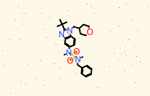 CN(Cc1ccccc1)S(=O)(=O)N(C)c1ccc2c(c1)nc(C(C)(C)C)n2CC1CCOCC1